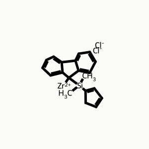 C[Si](C)(C1=CC=CC1)[C]1([Zr+2])c2ccccc2-c2ccccc21.[Cl-].[Cl-]